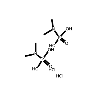 CN(C)P(=O)(O)O.CN(C)P(=O)(O)O.Cl.Cl